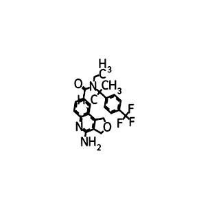 CCN(C(=O)c1ccc2nc(N)c3c(c2c1)COC3)C(C)(C)c1ccc(C(F)(F)F)cc1